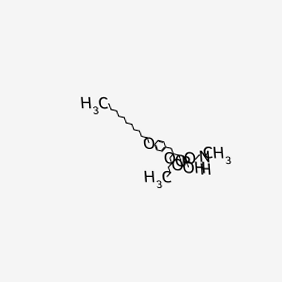 CCCCCCCCCCCCOc1ccc(CC(COP(O)OCCNC)OC(=O)CCC)cc1